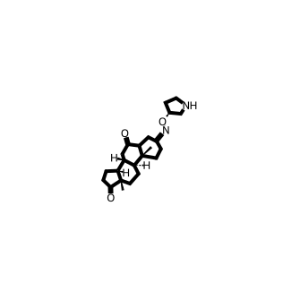 C[C@]12CC/C(=N/O[C@@H]3CCNC3)CC1C(=O)C[C@@H]1[C@@H]2CC[C@]2(C)C(=O)CC[C@@H]12